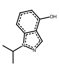 CC(C)n1ncc2c(O)cccc21